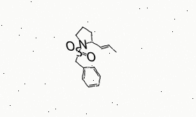 C/C=C/C1CCCN1S(=O)(=O)Cc1ccccc1